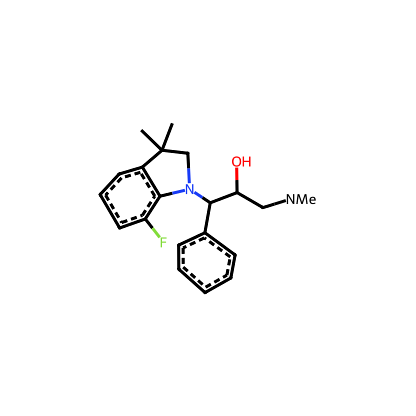 CNCC(O)C(c1ccccc1)N1CC(C)(C)c2cccc(F)c21